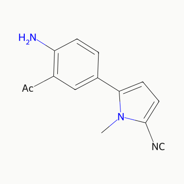 [C-]#[N+]c1ccc(-c2ccc(N)c(C(C)=O)c2)n1C